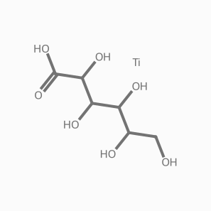 O=C(O)C(O)C(O)C(O)C(O)CO.[Ti]